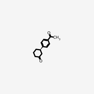 CC(=O)c1ccc([C@@H]2CCCC(=O)C2)cc1